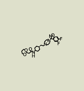 O=C(CC1OCCCO1)N[C@H]1CC[C@H](CCN2CCN(c3noc4cc(F)c(F)cc34)CC2)CC1